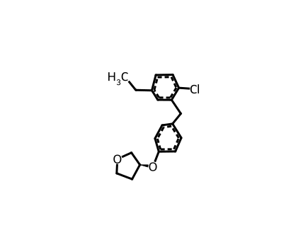 CCc1ccc(Cl)c(Cc2ccc(O[C@H]3CCOC3)cc2)c1